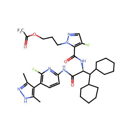 Cc1n[nH]c(C)c1-c1ccc(NC(=O)[C@@H](NC(=O)c2c(F)cnn2CCCOC(=O)C(F)(F)F)C(C2CCCCC2)C2CCCCC2)nc1F